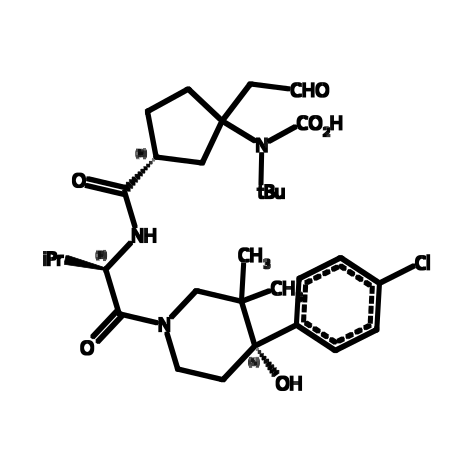 CC(C)[C@@H](NC(=O)[C@@H]1CCC(CC=O)(N(C(=O)O)C(C)(C)C)C1)C(=O)N1CC[C@](O)(c2ccc(Cl)cc2)C(C)(C)C1